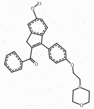 CCOc1ccc2c(c1)CC(C(=O)c1ccccc1)=C2c1ccc(OCCN2CCOCC2)cc1